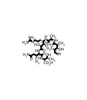 CC(C)C[C@@H](C)[C@@H](O)[C@@H](C)C(=O)N[C@H](C)C(=O)N[C@@H](CCCN=C(N)N)[C@@H](O)[C@@H](O)C(=O)N[C@@H](C(=O)N[C@@H](C(=O)O)[C@@H](C)O)[C@@H](C)CC(N)=O